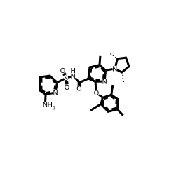 Cc1cc(C)c(Oc2nc(N3[C@H](C)CC[C@@H]3C)c(C)cc2C(=O)NS(=O)(=O)c2cccc(N)n2)c(C)c1